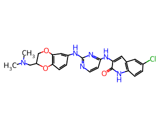 CN(C)CC1COc2cc(Nc3nccc(Nc4cc5cc(Cl)ccc5[nH]c4=O)n3)ccc2O1